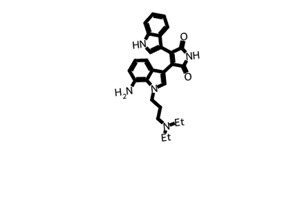 CCN(CC)CCCn1cc(C2=C(c3c[nH]c4ccccc34)C(=O)NC2=O)c2cccc(N)c21